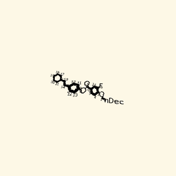 CCCCCCCCCCCOc1ccc(C(=O)Oc2ccc(CCC3CC[CH]CC3)cc2)cc1F